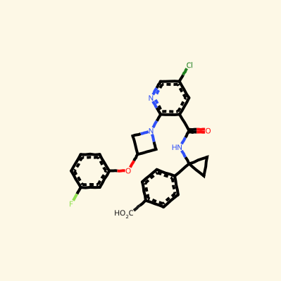 O=C(O)c1ccc(C2(NC(=O)c3cc(Cl)cnc3N3CC(Oc4cccc(F)c4)C3)CC2)cc1